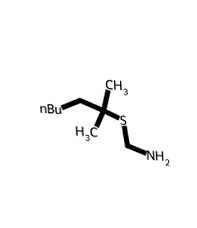 CCCCCC(C)(C)SCN